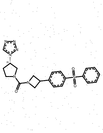 O=C(N1CC(c2ccc(S(=O)(=O)c3ccccc3)cc2)C1)N1CC[C@H](n2cnnn2)C1